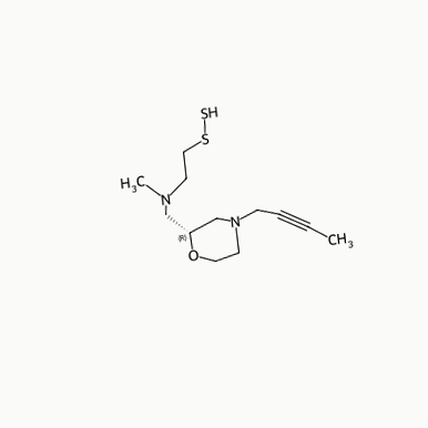 CC#CCN1CCO[C@H](CN(C)CCSS)C1